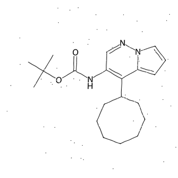 CC(C)(C)OC(=O)Nc1cnn2cccc2c1C1CCCCCCC1